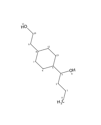 CCCC(O)C1CCC(CCO)CC1